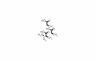 C=CC(=O)O.C=CC(=O)O.C=CC(=O)O.C[SiH3]